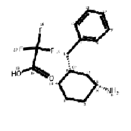 N[C@@H]1CCC[C@H](Cc2ccccc2)C1.O=C(O)C(F)(F)F